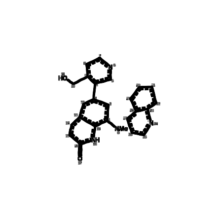 CNc1cc(-c2cnccc2CO)cc2ccc(=O)[nH]c12.c1ccc2ncccc2c1